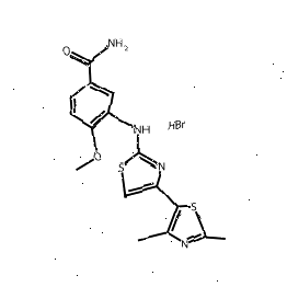 Br.COc1ccc(C(N)=O)cc1Nc1nc(-c2sc(C)nc2C)cs1